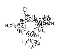 CON=C1C[C@@H](C)O[C@@H](O[C@@H]2[C@@H](C)[C@H](O[C@H]3C[C@H](C)N(CC(C)(C)O)C[C@H](C)O3)[C@@H](C)C(=O)O[C@H]([C@@H](C)CO[C@@H]3O[C@H](C)[C@@H](O)[C@@H](OC)[C@H]3OC)[C@H](C)[C@@H](OC(=O)CC(C)C)[C@@H](C)C(=O)[C@@](C)(OC(=O)NCc3ccccc3)C[C@@H]2C)[C@@H]1O